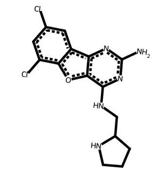 Nc1nc(NCC2CCCN2)c2oc3c(Cl)cc(Cl)cc3c2n1